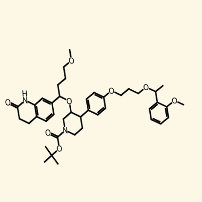 COCCCC(OC1CN(C(=O)OC(C)(C)C)CCC1c1ccc(OCCCOC(C)c2ccccc2OC)cc1)c1ccc2c(c1)NC(=O)CC2